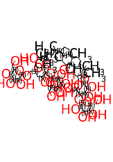 C[C@H](CC[C@@H](O[C@@H]1O[C@H](CO[C@@H]2O[C@H](CO)[C@@H](O)[C@H](O)[C@H]2O)C[C@H](O)[C@H]1O[C@@H]1O[C@H](CO)[C@@H](O)[C@H](O)[C@H]1O)C(C)(C)O)[C@H]1CC[C@@]2(C)C3CC=C4C(CC[C@H](O[C@@H]5O[C@H](CO)[C@@H](O[C@@H]6O[C@H](CO)[C@@H](O)[C@H](O)[C@H]6O)[C@H](O)[C@H]5O)C4(C)C)[C@]3(C)C(=O)C[C@]12C